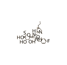 CCC[C@@H]1C[C@@H](C(=O)N[C@H](CNCc2ccc(F)cc2)[C@H]2OC(SC)[C@H](O)C(O)C2O)N(C)C1